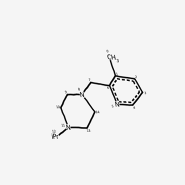 Cc1cccnc1CN1CCN(C(C)C)CC1